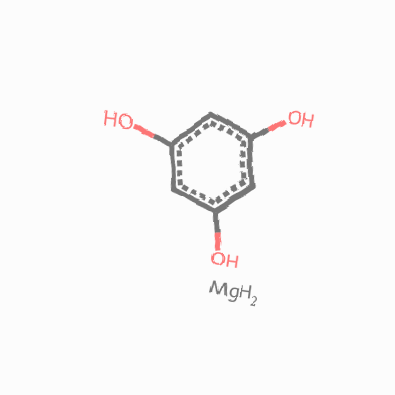 Oc1cc(O)cc(O)c1.[MgH2]